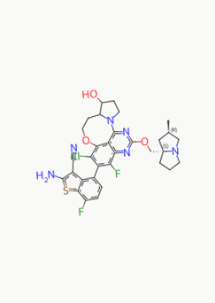 C[C@H]1CN2CCC[C@@]2(COc2nc3c4c(c(Cl)c(-c5ccc(F)c6sc(N)c(C#N)c56)c(F)c4n2)OCCC2C(O)CCN32)C1